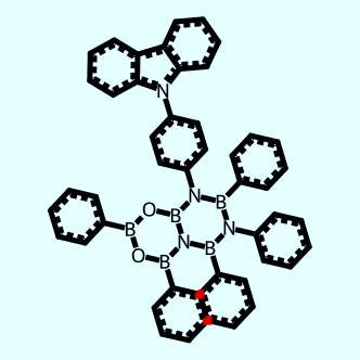 c1ccc(B2OB(c3ccccc3)N3B(O2)N(c2ccc(-n4c5ccccc5c5ccccc54)cc2)B(c2ccccc2)N(c2ccccc2)B3c2ccccc2)cc1